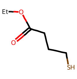 CCOC(=O)CCCS